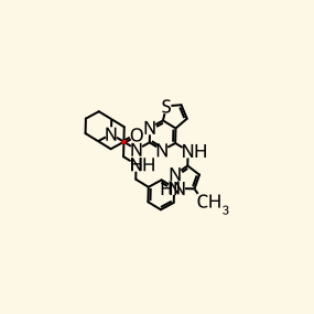 Cc1cc(Nc2nc(NC3CC4CCCC(C3)N4C(=O)CNCc3cccnc3)nc3sccc23)n[nH]1